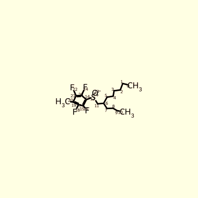 CCCCCCC(CCCC)C[S+]([O-])c1c(F)c(F)c(C)c(F)c1F